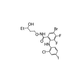 CCC(O)CCONC(=O)c1cc(Br)c(F)c(F)c1Nc1ccc(I)cc1Cl